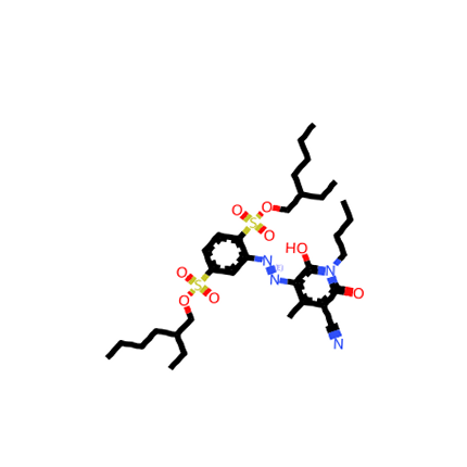 CCCCC(CC)COS(=O)(=O)c1ccc(S(=O)(=O)OCC(CC)CCCC)c(/N=N/c2c(C)c(C#N)c(=O)n(CCCC)c2O)c1